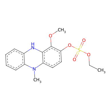 CCOS(=O)(=O)Oc1ccc2c(c1OC)Nc1ccccc1N2C